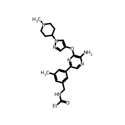 CCC(=O)NCc1cc(C)cc(-c2cnc(N)c(Oc3cnn(C4CCN(C)CC4)c3)n2)c1